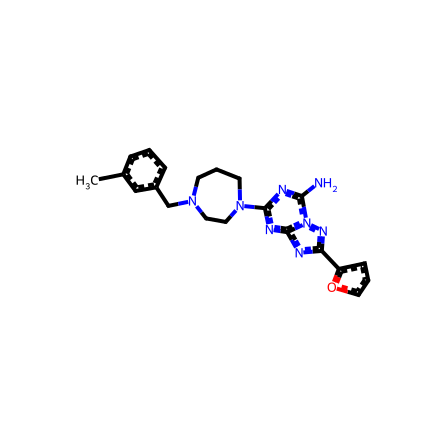 Cc1cccc(CN2CCCN(c3nc(N)n4nc(-c5ccco5)nc4n3)CC2)c1